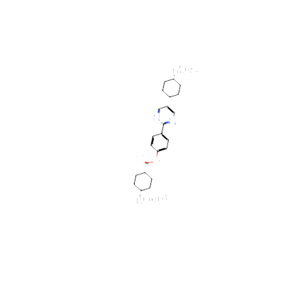 CCCCCCCCCC[C@H]1CC[C@H](c2cnc(-c3ccc(OC(=O)[C@H]4CC[C@H](CCCCCCC)CC4)cc3)nc2)CC1